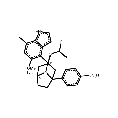 COc1cc(C)c2[nH]ccc2c1CN1[C@H]2CCC1(c1ccc(C(=O)O)cc1)C[C@H](OC(F)F)C2